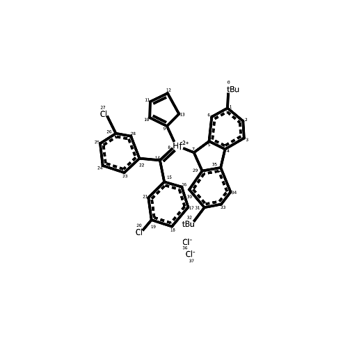 CC(C)(C)c1ccc2c(c1)[CH]([Hf+2]([C]1=CC=CC1)=[C](c1cccc(Cl)c1)c1cccc(Cl)c1)c1cc(C(C)(C)C)ccc1-2.[Cl-].[Cl-]